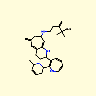 C=C1C=C2CCC(C3=C(C4CC=CC(C)N4)NC=CC=C3)NC2=CC(NCCC(=C)C(C)(C)CCCC)C1